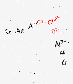 [Al+3].[Al+3].[Al].[Al].[Cr].[Cr].[O-2].[O-2].[O-2]